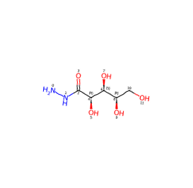 NNC(=O)[C@H](O)[C@@H](O)[C@H](O)CO